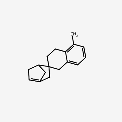 Cc1cccc2c1CCC1(CC3=CCC1C3)C2